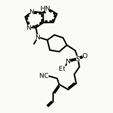 C=C/C=C(\C=C/CCS(=O)(CC1CCC(N(C)c2ncnc3[nH]ccc23)CC1)=NCC)CC#N